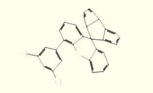 Clc1cc(Cl)cc(-c2cccc3c2Sc2ccccc2C32c3ccccc3C3C=CC=CC32)c1